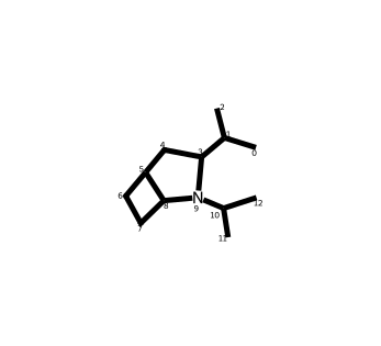 CC(C)C1CC2CCC2N1C(C)C